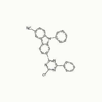 N#Cc1ccc2c(c1)c1ccc(-c3nc(Cl)nc(-c4ccccc4)n3)cc1n2-c1ccccc1